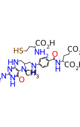 CN1c2c(nc(N)[nH]c2=O)NCC1CNc1ccc(C(=O)NC(CCC(=O)O)C(=O)O)cc1.NC(CCS)C(=O)O